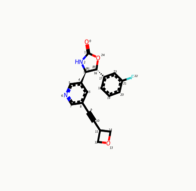 O=C1N[C@H](c2cncc(C#CC3COC3)c2)[C@@H](c2cccc(F)c2)O1